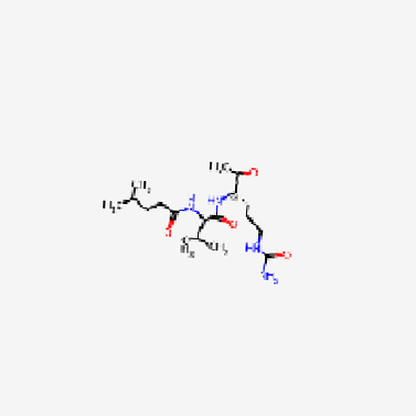 CC(=O)[C@H](CCCNC(N)=O)NC(=O)C(NC(=O)CCC(C)C)C(C)C